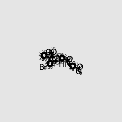 COC(=O)c1ccc(NC(=O)c2ccc(Cn3c(C(=O)OC)c(-c4ccccc4)c4cc(Br)ccc4c3=O)cc2)cc1